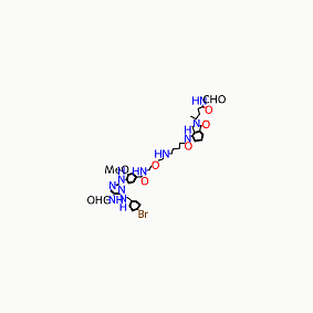 COc1cc(C(=O)NCCOCCNCCCCC(=O)Nc2cccc3c2CN(C(C)CCC(=O)NC=O)C3=O)ccc1Nc1ncc(NC=O)c(NCc2ccc(Br)cc2)n1